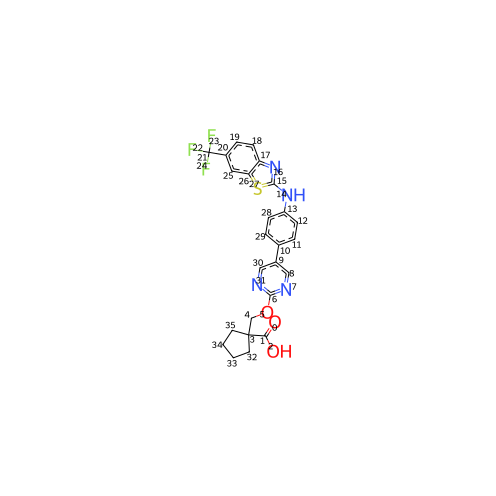 O=C(O)C1(COc2ncc(-c3ccc(Nc4nc5ccc(C(F)(F)F)cc5s4)cc3)cn2)CCCC1